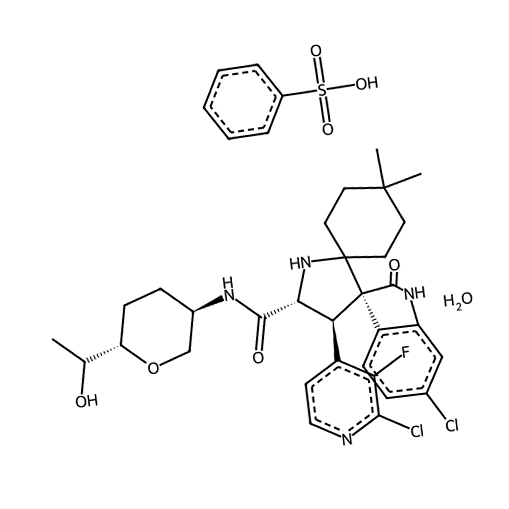 CC(O)[C@@H]1CC[C@@H](NC(=O)[C@@H]2NC3(CCC(C)(C)CC3)[C@@]3(C(=O)Nc4cc(Cl)ccc43)[C@H]2c2ccnc(Cl)c2F)CO1.O.O=S(=O)(O)c1ccccc1